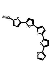 CSc1ccc(C2=C=C=C(c3ccc(C4=C=C=C(c5cccs5)S4)s3)S2)s1